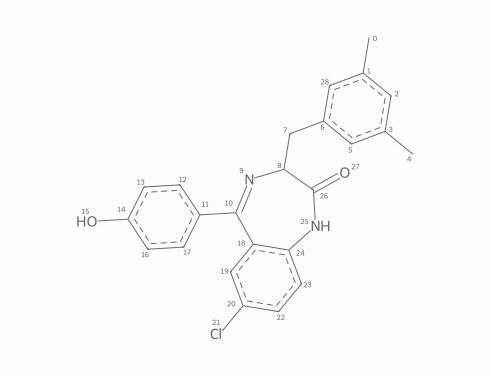 Cc1cc(C)cc(CC2N=C(c3ccc(O)cc3)c3cc(Cl)ccc3NC2=O)c1